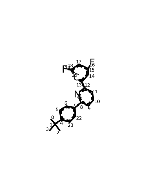 CC(C)(C)c1ccc(-c2cccc(-c3cc(F)cc(F)c3)n2)cc1